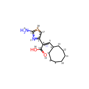 Nc1nc(/C(=C/C2CCCCCCC2)C(=O)O)cs1